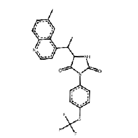 Cc1ccc2nccc(C(C)C3NC(=O)N(c4ccc(SC(F)(F)F)cc4)C3=O)c2c1